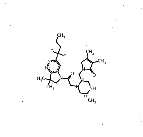 CCCC(F)(F)c1cc2c(nn1)C(C)(C)CN2C(=O)CN1C[C@@H](C)NC[C@@H]1CN1CC(C)=C(C)C1=O